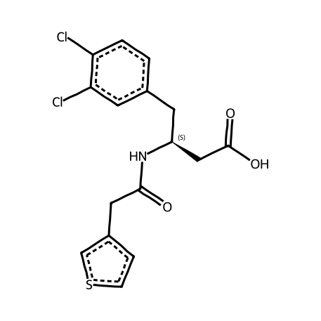 O=C(O)C[C@H](Cc1ccc(Cl)c(Cl)c1)NC(=O)Cc1ccsc1